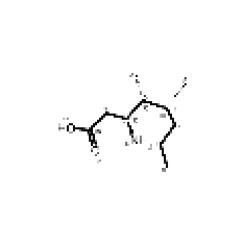 CCC[C@@H](C)[C@@H](C)[C@@H](N)CC(=O)O